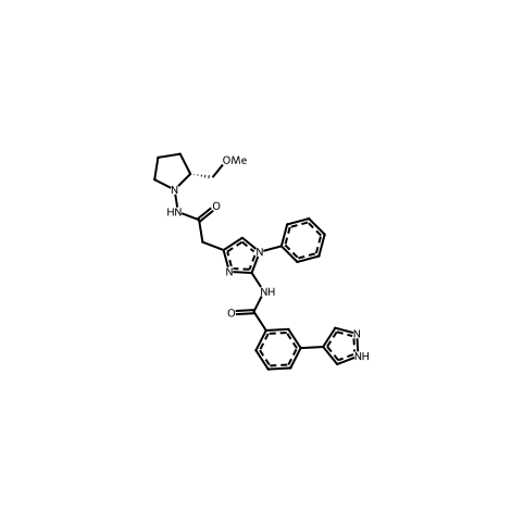 COC[C@H]1CCCN1NC(=O)Cc1cn(-c2ccccc2)c(NC(=O)c2cccc(-c3cn[nH]c3)c2)n1